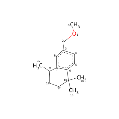 COCc1ccc2c(c1)C(C)CCC2(C)C